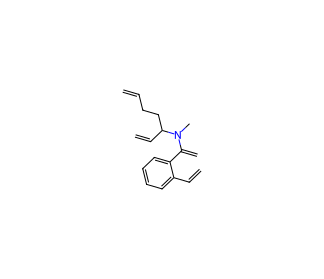 C=CCCC(C=C)N(C)C(=C)c1ccccc1C=C